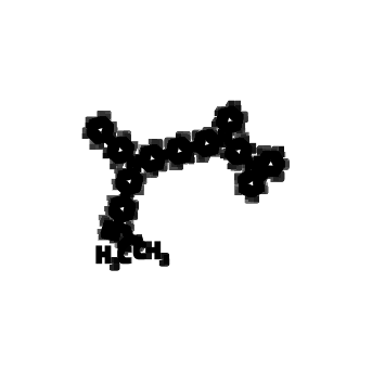 CCC(CC)CC1(c2ccc(-c3ccc(N(c4ccc(-c5ccccc5)cc4)c4ccc(-c5ccc(-c6ccc(N(c7ccccc7)c7ccc(-n8c9ccccc9c9ccccc98)cc7)cc6)cc5)cc4)cc3)cc2)CCC1